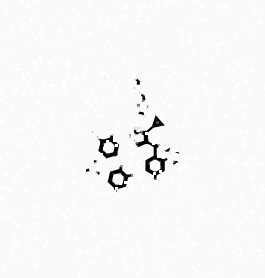 CS(=O)(=O)c1cc(Cl)ccc1C(=O)c1cnoc1C1CC1.C[S+](C)C.O=C(O)CNCP(=O)([O-])O.O=C(O)c1cc(Oc2ccc(C(F)(F)F)cc2Cl)ccc1[N+](=O)[O-]